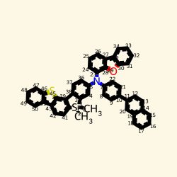 C[Si]1(C)c2cc(N(c3ccc(-c4ccc5ccccc5c4)cc3)c3cccc4c3oc3ccccc34)ccc2-c2c1ccc1c2sc2ccccc21